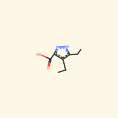 CCc1[nH]nc(C(=O)O)c1CC